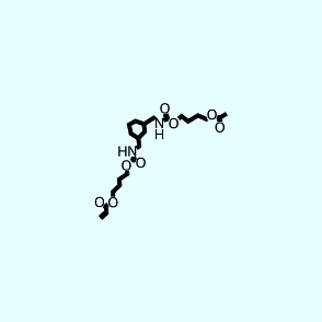 C=CC(=O)OCCCCOC(=O)NCC1CCCC(CNC(=O)OCCCCOC(C)=O)C1